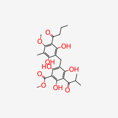 CCCC(=O)c1c(O)c(Cc2c(O)c(C(=O)OC)c(O)c(C(=O)C(C)C)c2O)c(O)c(C)c1OC